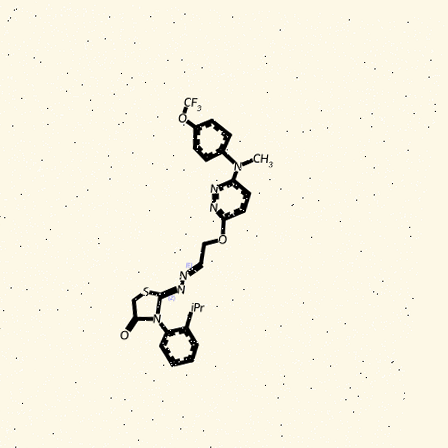 CC(C)c1ccccc1N1C(=O)CS/C1=N\N=C\COc1ccc(N(C)c2ccc(OC(F)(F)F)cc2)nn1